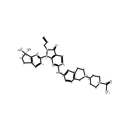 C=CCn1c(=O)c2cnc(Nc3ccc4c(c3)CCN(C3CCN(C(=O)C(F)(F)F)CC3)C4)nc2n1-c1ccc2c(n1)[C@@](O)(CC)CC2